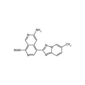 CNc1ncc(-c2nc3ccc(C)cn3n2)c2cc(N)ncc12